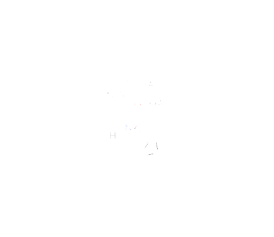 CC(=O)OC[C@H]1O[C@@H](OCCN(C)C(=O)OCc2ccccc2)[C@H](OC(C)=O)[C@@H](O)[C@@H]1OC(C)=O